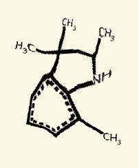 Cc1cccc2c1NC(C)C2(C)C